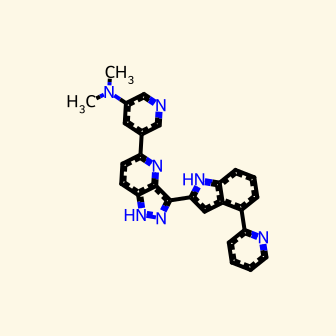 CN(C)c1cncc(-c2ccc3[nH]nc(-c4cc5c(-c6ccccn6)cccc5[nH]4)c3n2)c1